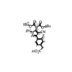 CC(C)n1nc(-c2ccc(CC(=O)O)cc2F)c(C#N)c1N(C(=O)OC(C)(C)C)C(=O)OC(C)(C)C